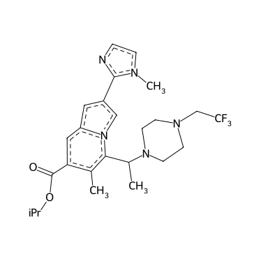 Cc1c(C(=O)OC(C)C)cc2cc(-c3nccn3C)cn2c1C(C)N1CCN(CC(F)(F)F)CC1